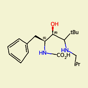 CC(C)CNC([C@H](O)[C@H](Cc1ccccc1)NC(=O)O)C(C)(C)C